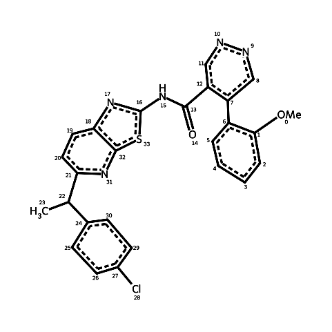 COc1ccccc1-c1cnncc1C(=O)Nc1nc2ccc(C(C)c3ccc(Cl)cc3)nc2s1